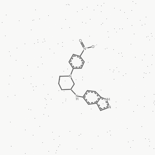 O=[N+]([O-])c1ccc(N2CCCC(Nc3ccc4[nH]ncc4c3)C2)cc1